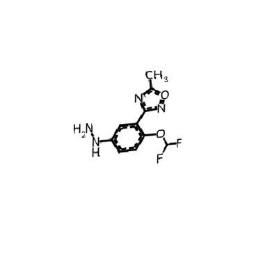 Cc1nc(-c2cc(NN)ccc2OC(F)F)no1